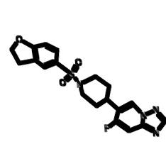 O=S(=O)(c1ccc2c(c1)CCO2)N1CCC(c2cn3ncnc3cc2F)CC1